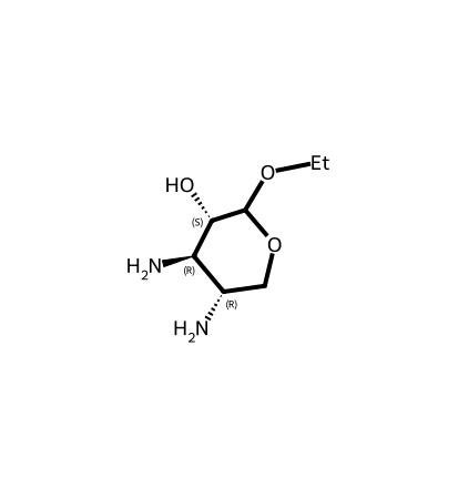 CCOC1OC[C@H](N)[C@@H](N)[C@@H]1O